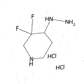 Cl.Cl.NNC1CCNCC1(F)F